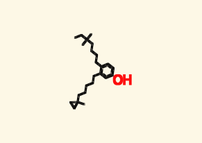 CCC(C)(C)CCCCc1ccc(O)cc1CCCCCC1(C)CC1